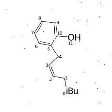 CCC(C)C/C=C\Cc1ccccc1O